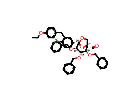 CCOc1ccc(Cc2cc([C@]34OC[C@](C=O)(O3)[C@@H](OCc3ccccc3)[C@H](OCc3ccccc3)[C@@H]4OCc3ccccc3)ccc2Cl)cc1